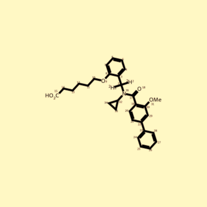 [2H]C([2H])(c1ccccc1OCCCCCC(=O)O)N(C(=O)c1ccc(-c2ccccc2)cc1OC)C1CC1